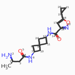 C[C@@H](N)CC(=O)N[C@H]1CC2(C1)C[C@H](NC(=O)c1cc(C3CC3)on1)C2